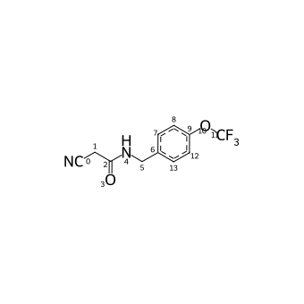 N#CCC(=O)NCc1ccc(OC(F)(F)F)cc1